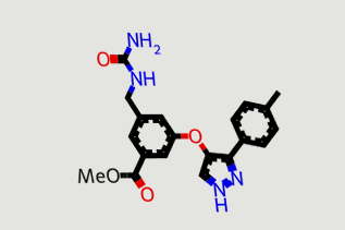 COC(=O)c1cc(CNC(N)=O)cc(Oc2c[nH]nc2-c2ccc(C)cc2)c1